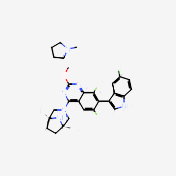 CN1CCC[C@H]1COc1nc(N2C[C@H]3CC[C@@H](C2)N3)c2cc(F)c(-c3c[nH]c4ccc(Cl)cc34)c(F)c2n1